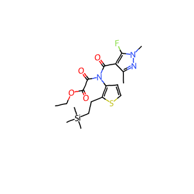 CCOC(=O)C(=O)N(C(=O)c1c(C)nn(C)c1F)c1ccsc1CC[Si](C)(C)C